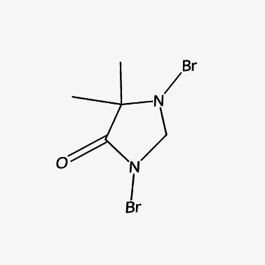 CC1(C)C(=O)N(Br)CN1Br